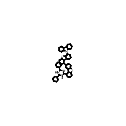 c1ccc(C2NC(c3ccccc3)NC(c3cccc4sc5ccc(-c6cccc7oc8c(-n9c%10ccccc%10c%10ccccc%109)cccc8c67)cc5c34)N2)cc1